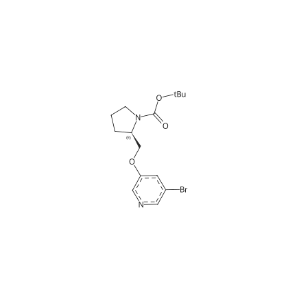 CC(C)(C)OC(=O)N1CCC[C@@H]1COc1cncc(Br)c1